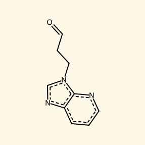 O=CCCn1cnc2cccnc21